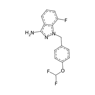 Nc1nn(Cc2ccc(OC(F)F)cc2)c2c(F)cccc12